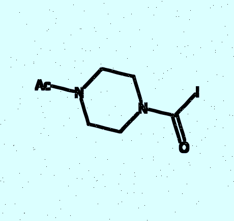 CC(=O)N1CCN(C(=O)I)CC1